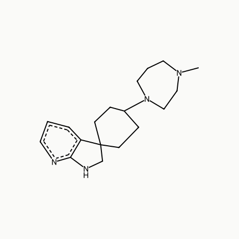 CN1CCCN(C2CCC3(CC2)CNc2ncccc23)CC1